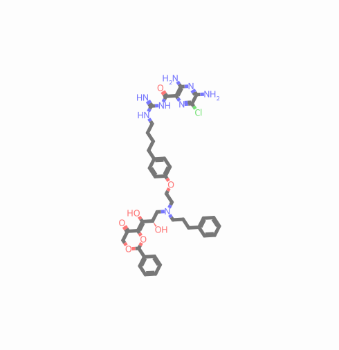 N=C(NCCCCc1ccc(OCCN(CCCc2ccccc2)C[C@H](O)/C(O)=C2\OC(c3ccccc3)OCC2=O)cc1)NC(=O)c1nc(Cl)c(N)nc1N